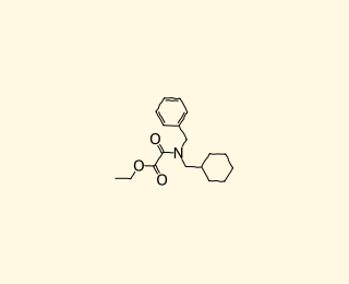 CCOC(=O)C(=O)N(Cc1ccccc1)CC1CCCCC1